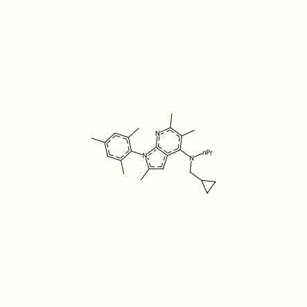 CCCN(CC1CC1)c1c(C)c(C)nc2c1cc(C)n2-c1c(C)cc(C)cc1C